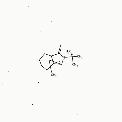 CC1C2CCC3C(C2)C(=O)N(C(C)(C)C)C13